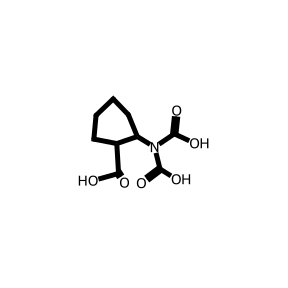 O=C(O)C1CCCCC1N(C(=O)O)C(=O)O